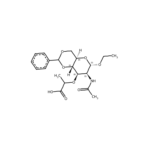 CCO[C@H]1O[C@@H]2COC(c3ccccc3)O[C@H]2[C@H](OC(C)C(=O)O)[C@@H]1NC(C)=O